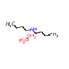 CCCCNCCCC.O.O